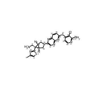 Cc1csc([C@]2(CN)[C@@H]3CN(c4cnc5nc(Sc6ccnc(N)c6Cl)ccc5n4)C[C@@H]32)n1